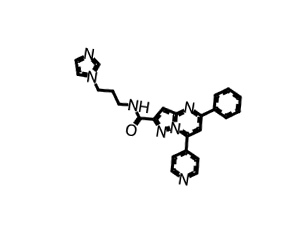 O=C(NCCCn1ccnc1)c1cc2nc(-c3ccccc3)cc(-c3ccncc3)n2n1